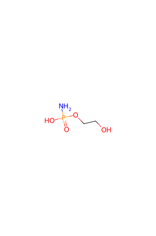 NP(=O)(O)OCCO